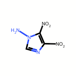 Nn1cnc([N+](=O)[O-])c1[N+](=O)[O-]